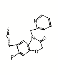 O=C1COc2cc(F)c(N=C=S)cc2N1Cc1ccccn1